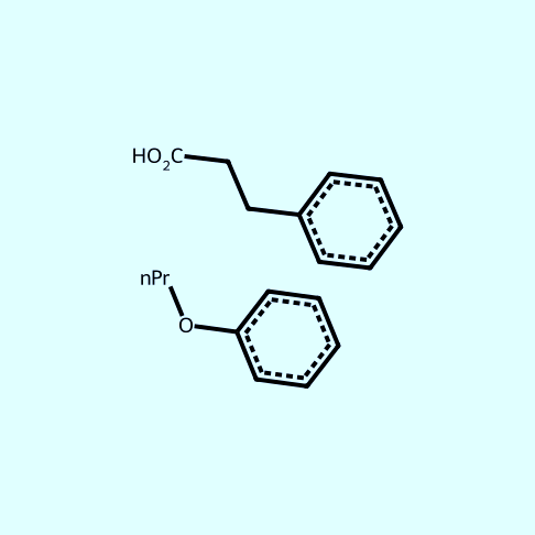 CCCOc1ccccc1.O=C(O)CCc1ccccc1